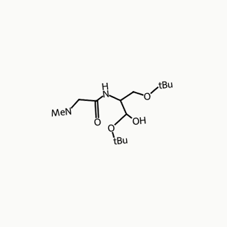 CNCC(=O)NC(COC(C)(C)C)C(O)OC(C)(C)C